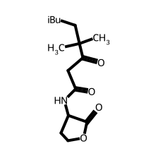 CCC(C)CC(C)(C)C(=O)CC(=O)NC1CCOC1=O